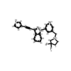 FC1(F)CCN(Cc2cncc(-n3nc(C#Cc4ccsc4)c4ccccc43)c2)C1